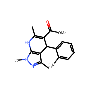 CCn1nc(C)c2c1NC(C)=C(C(=O)OC)C2c1ccccc1[N+](=O)[O-]